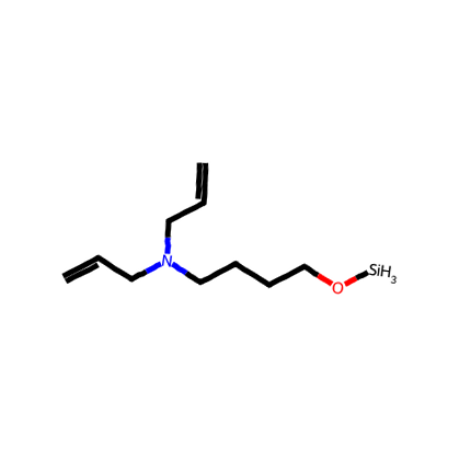 C=CCN(CC=C)CCCCO[SiH3]